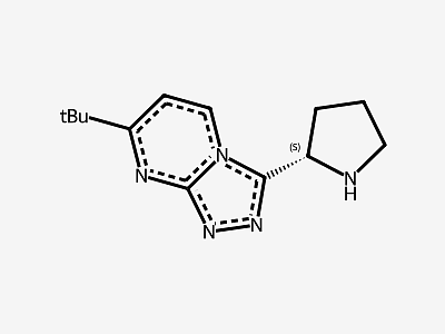 CC(C)(C)c1ccn2c([C@@H]3CCCN3)nnc2n1